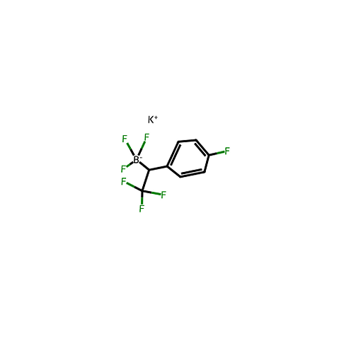 Fc1ccc(C([B-](F)(F)F)C(F)(F)F)cc1.[K+]